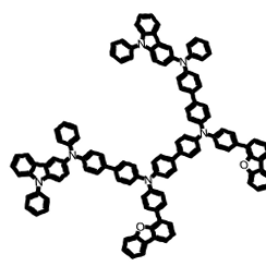 c1ccc(N(c2ccc(-c3ccc(N(c4ccc(-c5ccc(N(c6ccc(-c7ccc(N(c8ccccc8)c8ccc9c(c8)c8ccccc8n9-c8ccccc8)cc7)cc6)c6ccc(-c7cccc8c7oc7ccccc78)cc6)cc5)cc4)c4ccc(-c5cccc6c5oc5ccccc56)cc4)cc3)cc2)c2ccc3c(c2)c2ccccc2n3-c2ccccc2)cc1